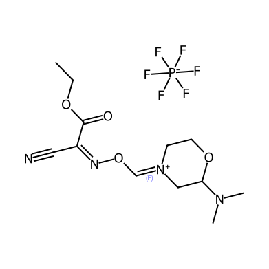 CCOC(=O)C(C#N)=NO/C=[N+]1\CCOC(N(C)C)C1.F[P-](F)(F)(F)(F)F